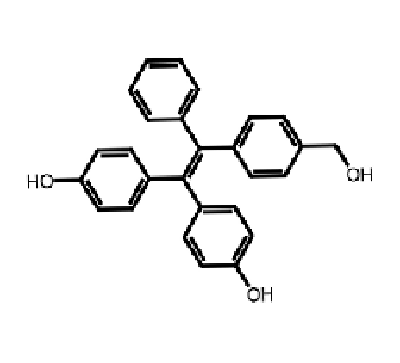 OCc1ccc(C(=C(c2ccc(O)cc2)c2ccc(O)cc2)c2ccccc2)cc1